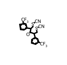 N#CSCC(C(=O)C(CSC#N)c1cccc(C(F)(F)F)c1)c1cccc(C(F)(F)F)c1